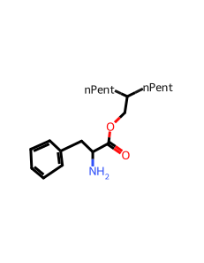 CCCCCC(CCCCC)COC(=O)C(N)Cc1ccccc1